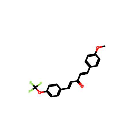 COc1ccc(C=CC(=O)C=Cc2ccc(OC(F)(F)F)cc2)cc1